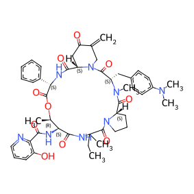 C=C1CN2C(=O)[C@H](Cc3ccc(N(C)C)cc3)N(C)C(=O)[C@@H]3CCCN3C(=O)C(C)(CC)NC(=O)[C@@H](NC(=O)c3ncccc3O)[C@@H](C)OC(=O)[C@H](c3ccccc3)NC(=O)[C@@H]2CC1=O